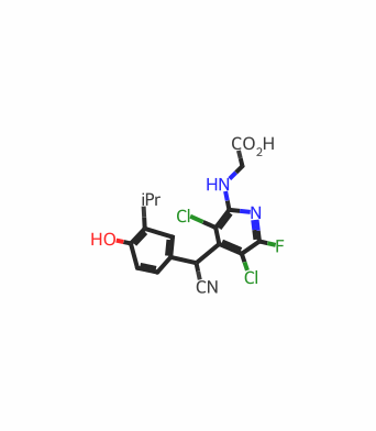 CC(C)c1cc(C(C#N)c2c(Cl)c(F)nc(NCC(=O)O)c2Cl)ccc1O